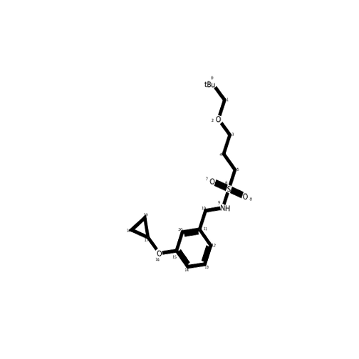 CC(C)(C)COCCCS(=O)(=O)NCc1cccc(OC2CC2)c1